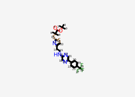 CC(C)(C)OC(=O)C(C)(C)Sc1nc(CCNc2cnc(-c3ccc(C(F)(F)F)cc3)cn2)cs1